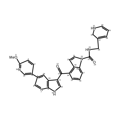 COc1ccc(-c2cnc3[nH]cc(C(=O)c4cccc5c4ccn5C(=O)NCC4=CC=CNC4)c3c2)cn1